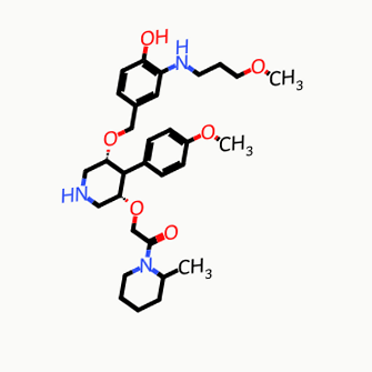 COCCCNc1cc(CO[C@H]2CNC[C@@H](OCC(=O)N3CCCCC3C)C2c2ccc(OC)cc2)ccc1O